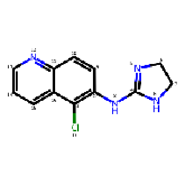 Clc1c(NC2=NCCN2)ccc2ncccc12